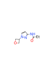 CCC(=O)Nc1ccn(C2COC2)n1